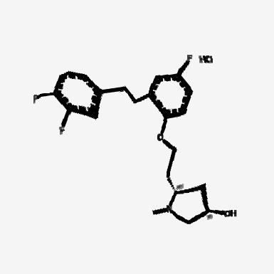 CN1C[C@H](O)C[C@H]1CCOc1ccc(F)cc1CCc1ccc(F)c(F)c1.Cl